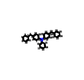 c1ccc(Cc2ccc(N(c3ccccc3)c3ccc(Cc4ccccc4)cc3)cc2)cc1